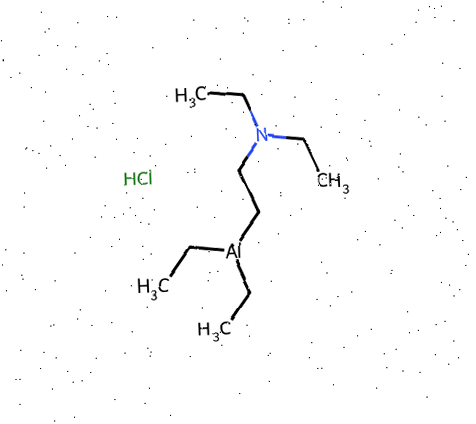 CCN(CC)C[CH2][Al]([CH2]C)[CH2]C.Cl